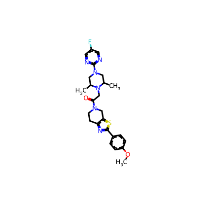 COc1ccc(-c2nc3c(s2)CN(C(=O)CN2C(C)CN(c4ncc(F)cn4)CC2C)CC3)cc1